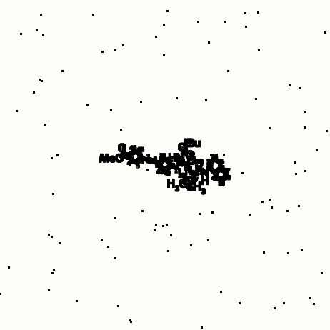 COC(=O)c1ccc(C#Cc2ccc(C[C@H](NC(=O)OC(C)(C)C)C(=O)N3C[Si](C)(C)C[C@H]3C(=O)N[C@@H]3CCCc4ccccc43)cc2)cc1